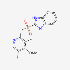 COc1c(C)cnc(CS(=O)(=O)c2nc3ccccc3[nH]2)c1C